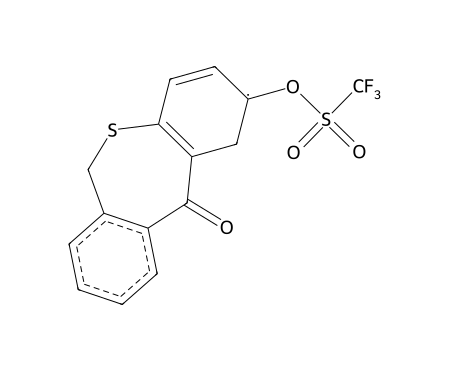 O=C1C2=C(C=C[C](OS(=O)(=O)C(F)(F)F)C2)SCc2ccccc21